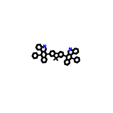 CC1(C)c2cc(-c3c4ccccc4c(-c4ccccc4)c4c3cnc3ccccc34)ccc2-c2ccc(-c3c4ccccc4c(-c4ccccc4)c4c3cnc3ccccc34)cc21